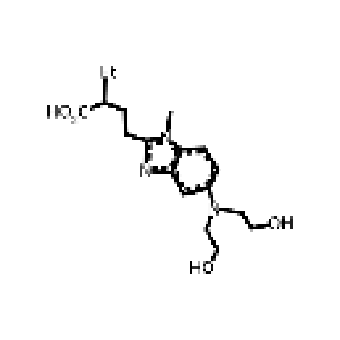 CCC(CCc1nc2cc(N(CCO)CCO)ccc2n1C)C(=O)O